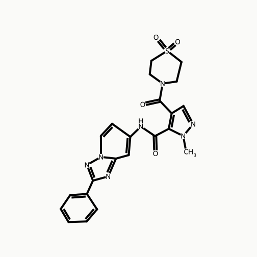 Cn1ncc(C(=O)N2CCS(=O)(=O)CC2)c1C(=O)Nc1ccn2nc(-c3ccccc3)nc2c1